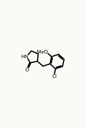 COc1cccc(Cl)c1CC1CCNC1=O